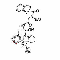 CC(C)(C)NC(=O)[C@]1(S(=O)(=O)c2ccccn2)CCCCN1C[C@@H](O)[C@H](Cc1ccccc1)NC(=O)CN(C(=O)c1ccc2ccccc2n1)C(C)(C)C